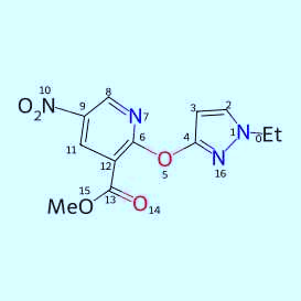 CCn1ccc(Oc2ncc([N+](=O)[O-])cc2C(=O)OC)n1